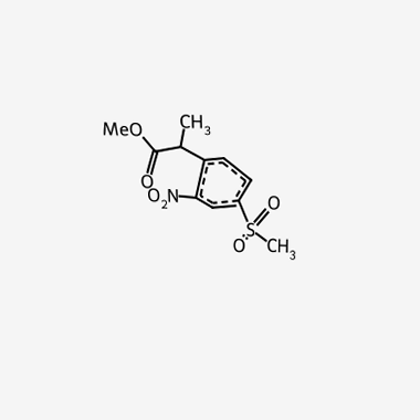 COC(=O)C(C)c1ccc(S(C)(=O)=O)cc1[N+](=O)[O-]